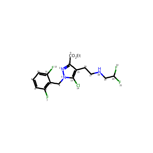 CCOC(=O)c1nn(Cc2c(F)cccc2F)c(Cl)c1CCNCC(F)F